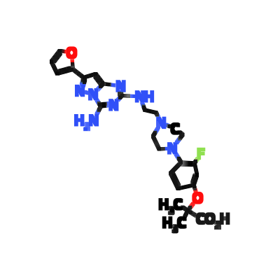 CC(C)(Oc1ccc(N2CCN(CCNc3nc(N)n4nc(-c5ccco5)cc4n3)CC2)c(F)c1)C(=O)O